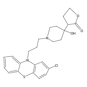 O=C1OCCC1C1(O)CCN(CCCN2c3ccccc3Sc3ccc(Cl)cc32)CC1